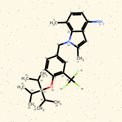 Cc1ccc(N)c2cc(C)n(Cc3ccc(O[Si](C(C)C)(C(C)C)C(C)C)c(C(F)(F)F)c3)c12